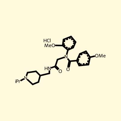 COc1ccc(C(=O)N(CC(=O)NCC2CCN(C(C)C)CC2)c2ccccc2OC)cc1.Cl